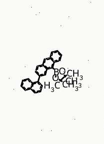 CC1(C)OB(c2c3ccccc3cc3ccc(-c4cccc5ccccc45)cc23)OC1(C)C